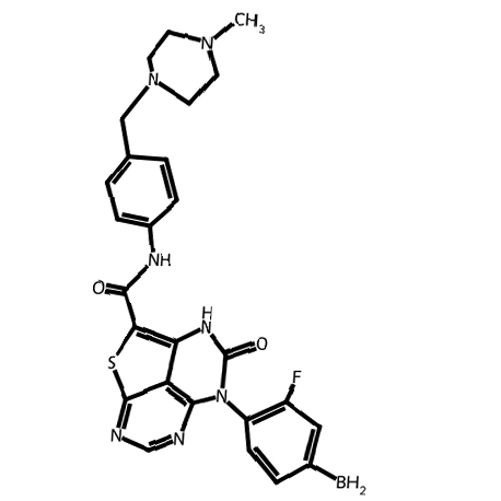 Bc1ccc(N2C(=O)Nc3c(C(=O)Nc4ccc(CN5CCN(C)CC5)cc4)sc4ncnc2c34)c(F)c1